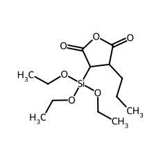 CCCC1C(=O)OC(=O)C1[Si](OCC)(OCC)OCC